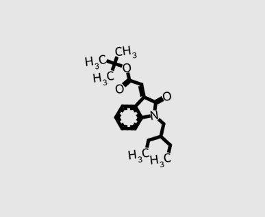 CCC(CC)CN1C(=O)/C(=C/C(=O)OC(C)(C)C)c2ccccc21